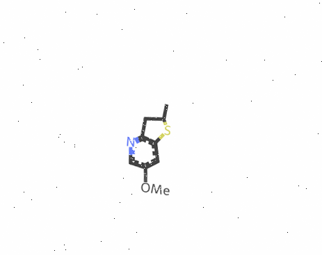 COc1cnc2c(c1)SC(C)C2